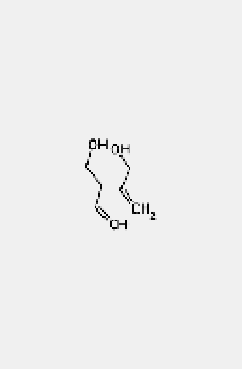 C=CCO.[CH]=CCCO